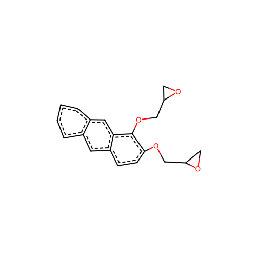 c1ccc2cc3c(OCC4CO4)c(OCC4CO4)ccc3cc2c1